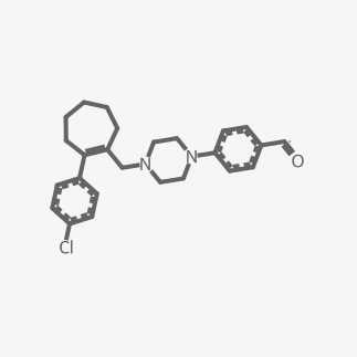 O=[C]c1ccc(N2CCN(CC3=C(c4ccc(Cl)cc4)CCCCC3)CC2)cc1